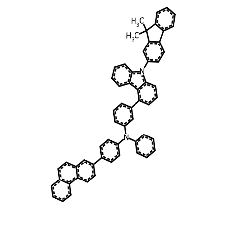 CC1(C)c2ccccc2-c2ccc(-n3c4ccccc4c4c(-c5cccc(N(c6ccccc6)c6ccc(-c7ccc8c(ccc9ccccc98)c7)cc6)c5)cccc43)cc21